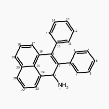 NC1C(c2ccccc2)=C(c2ccccc2)c2cccc3cccc1c23